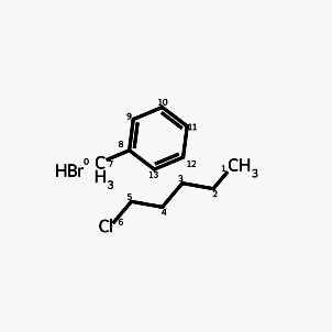 Br.CCCCCCl.Cc1ccccc1